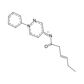 CCC=CCC(=O)/N=c1\ccn(-c2ccccc2)nc1